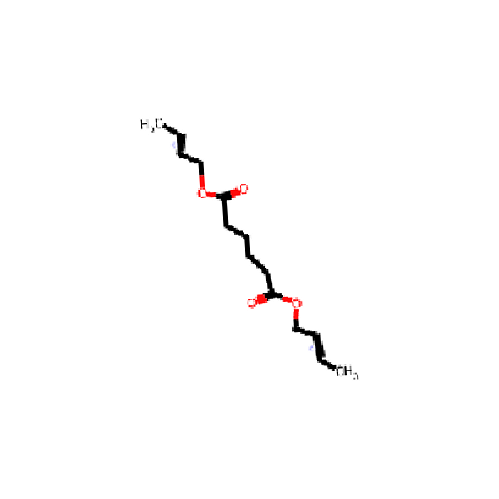 C/C=C/COC(=O)CCCCC(=O)OC/C=C/C